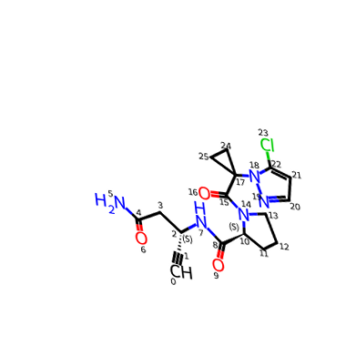 C#C[C@H](CC(N)=O)NC(=O)[C@@H]1CCCN1C(=O)C1(n2nccc2Cl)CC1